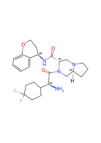 N[C@H](C(=O)N1C[C@@H]2CCCN2C[C@H]1C(=O)N[C@@H]1CCOc2ccccc21)C1CCC(F)(F)CC1